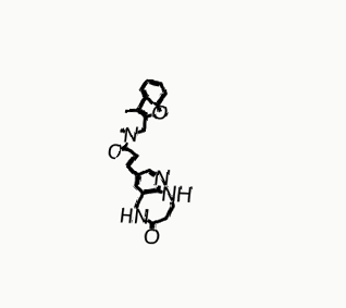 Cc1c(CN(C)C(=O)C=Cc2cnc3c(c2)CNC(=O)CCN3)oc2ccccc12